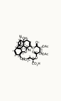 CC(=O)O[C@@H](C(=O)OC1=CC[C@@]2(O)[C@@H]3CC=C[C@@]24c2c(ccc(O)c2O[C@@H]14)C3)[C@@H](OC(C)=O)C(=O)O[C@H](CC(=O)O)C(=O)O